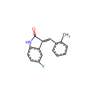 Cc1ccccc1C=C1C(=O)Nc2ccc(F)cc21